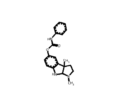 CN1CCC2(C)c3cc(OC(=O)Nc4ccccc4)ccc3NC12